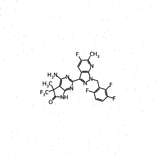 Cc1nc2c(cc1F)c(-c1nc(N)c3c(n1)NC(=O)C3(C)C(F)(F)F)nn2Cc1c(F)ccc(F)c1F